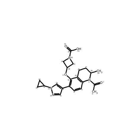 CC(=O)N1c2ccc(-c3cnn(C4CC4)c3)c(OC3CN(C(=O)O)C3)c2CCC1C